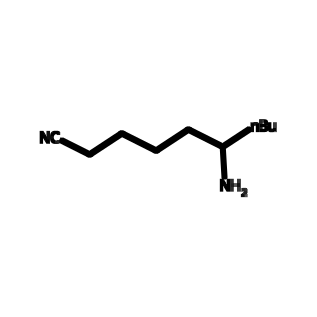 CCCCC(N)CCCCC#N